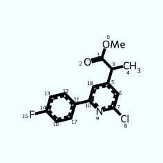 COC(=O)C(C)c1cc(Cl)nc(-c2ccc(F)cc2)c1